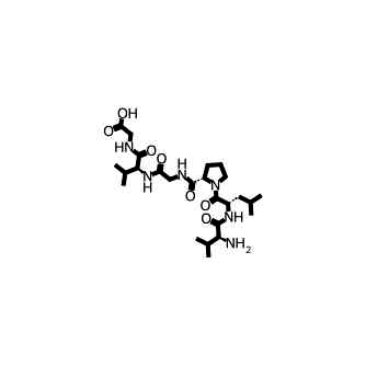 CC(C)C[C@H](NC(=O)[C@@H](N)C(C)C)C(=O)N1CCC[C@H]1C(=O)NCC(=O)N[C@H](C(=O)NCC(=O)O)C(C)C